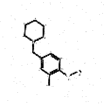 Cc1cc(CN2CCCCC2)ccc1OC(C)C